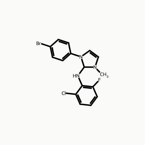 CN1C=CN(c2ccc(Br)cc2)C1Nc1c(F)cccc1Cl